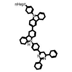 CCCCCCCC1=CC=C(N2C3CC=C(C4C=CC5C(C4)C4=CCCC[C@H]4N5C4=CC=C(C5=NC(C6=CCCC=C6)=NC(C6C=CC=CC6)C5)CC4)C=C3C3CCC=CC32)CC1